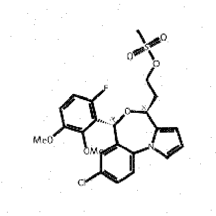 COc1ccc(F)c([C@@H]2O[C@@H](CCOS(C)(=O)=O)c3cccn3-c3ccc(Cl)cc32)c1OC